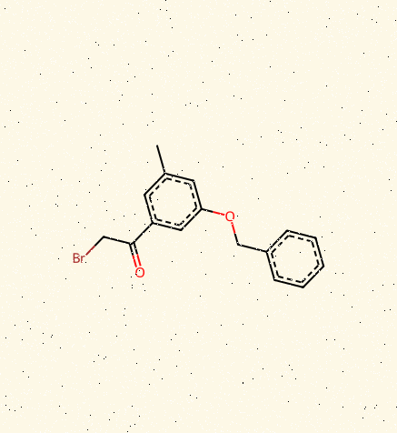 Cc1cc(OCc2ccccc2)cc(C(=O)CBr)c1